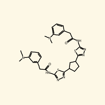 CN(C)c1cccc(CC(=O)Nc2nnc(C3CCC(c4nnc(NC(=O)Cc5cccc(N(C)C)c5)s4)C3)s2)c1